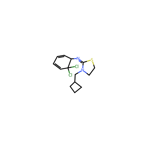 ClC1(Cl)C=CC=CC1N=C1SCCN1CC1CCC1